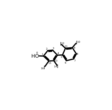 Oc1ccc(-c2cccc(I)c2I)c(I)c1I